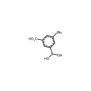 CC(C)(C)c1cc(B(O)O)cc(C(=O)O)c1